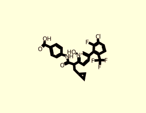 O=C(O)c1ccc(NC(=O)C(CC2CC2)c2ccc(-c3c(C(F)(F)F)ccc(Cl)c3F)c[n+]2O)cc1